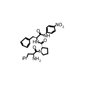 CC(C)C[C@H](N)C(=O)N1CCC[C@H]1C(=O)N[C@@H](Cc1ccccc1)C(=O)Nc1ccc([N+](=O)[O-])cc1